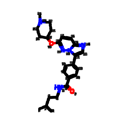 CC(C)CCNC(=O)c1ccc(-c2cnc3ccc(OC4CCN(C)CC4)nn23)cc1